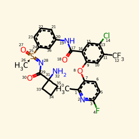 Cc1nc(F)ccc1Oc1cc(C(F)(F)F)c(Cl)cc1C(=O)Nc1cccc([S@@](C)(=O)=NC(=O)C2(N)CCC2)c1